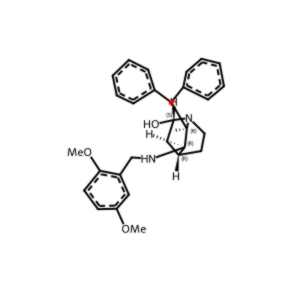 COc1ccc(OC)c(CN[C@@H]2[C@@H]3CCN([C@@H](O)C3)[C@]2(C)C(c2ccccc2)c2ccccc2)c1